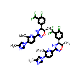 COc1nc(C2=NO[C@H](C)[C@H](c3ccc(Cl)c(C(F)F)c3)N2)ccc1-n1cnc(C)c1.COc1nc(C2=NO[C@H](C)[C@H](c3ccc(Cl)c(C(F)F)c3)N2)ccc1-n1cnc(C)c1